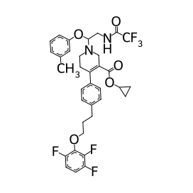 Cc1cccc(OC(CNC(=O)C(F)(F)F)N2CCC(c3ccc(CCCOc4c(F)ccc(F)c4F)cc3)=C(C(=O)OC3CC3)C2)c1